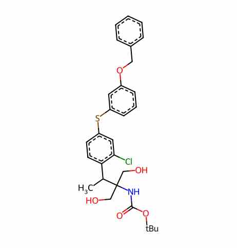 CC(c1ccc(Sc2cccc(OCc3ccccc3)c2)cc1Cl)C(CO)(CO)NC(=O)OC(C)(C)C